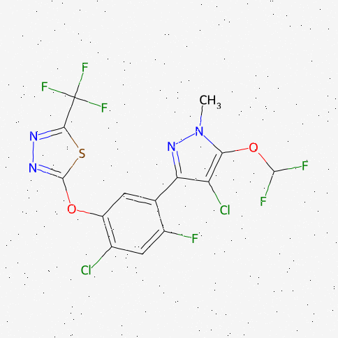 Cn1nc(-c2cc(Oc3nnc(C(F)(F)F)s3)c(Cl)cc2F)c(Cl)c1OC(F)F